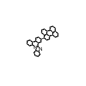 c1ccc2c(c1)nc1c3cc(-c4ccc5c6cccc7cccc(c8cccc4c85)c76)ccc3c3ccccc3n21